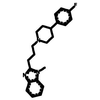 Cn1c(CCCN2CCC(c3ccc(F)cc3)CC2)nc2ccccc21